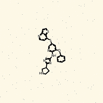 c1ccc(Oc2cc(Sc3ccnc4ccsc34)cnc2Nc2nc(C3CCNC3)ns2)cc1